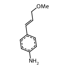 COCC=Cc1ccc(N)cc1